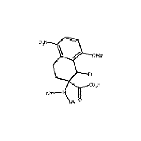 CCCN(CCC)C1(C(=O)C(=O)O)CCc2c([N+](=O)[O-])ccc(OC)c2C1CC